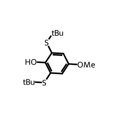 COc1cc(SC(C)(C)C)c(O)c(SC(C)(C)C)c1